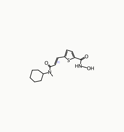 CN(C(=O)/C=C/c1ccc(C(=O)NO)s1)C1CCCCC1